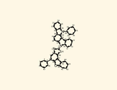 c1ccc(-c2cc3nc(-n4c5ccccc5c5c4ccc4c6ccccc6n(-c6ccccc6)c45)sc3c3c2oc2ccccc23)cc1